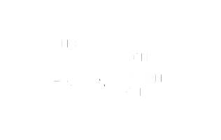 CC1=C(C)N=C(C(C)(C)C)C1